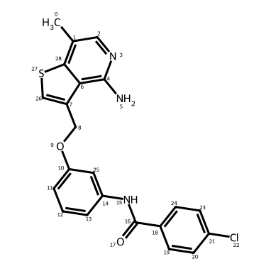 Cc1cnc(N)c2c(COc3cccc(NC(=O)c4ccc(Cl)cc4)c3)csc12